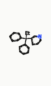 CCC(c1ccccc1)(c1ccccc1)c1cccnc1